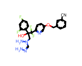 N#Cc1cccc(COc2ccc(C(F)(F)C(O)(CN(N)/C=N\N)c3ccc(F)cc3F)nc2)c1